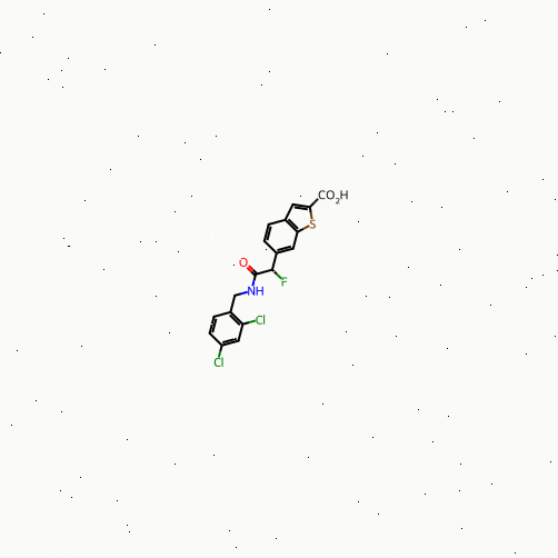 O=C(O)c1cc2ccc(C(F)C(=O)NCc3ccc(Cl)cc3Cl)cc2s1